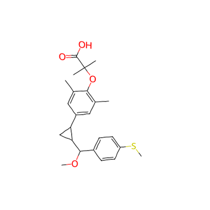 COC(c1ccc(SC)cc1)C1CC1c1cc(C)c(OC(C)(C)C(=O)O)c(C)c1